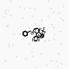 CN1CCC[C@]1(C1=CC=CN(OCc2ccccc2)C1c1cncnc1C1CC1)C(F)(F)F